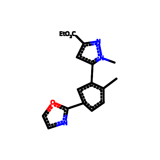 CCOC(=O)c1cc(-c2cc(-c3ncco3)ccc2C)n(C)n1